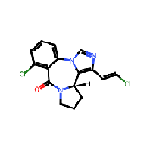 O=C1c2c(Cl)cccc2-n2cnc(C=CCl)c2[C@@H]2CCCN12